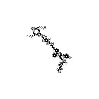 CCC(=O)NCCNC(=O)NC(=N)NCCC[C@@H](NC(=O)C(c1ccccc1)c1cccc(OCCCCNC(=O)C[C@H]2NC(=O)[C@@H](CCCNC(=O)CN3CCN(CC(=O)O)CCN(CC(=O)O)CCN(CC(=O)O)CC3)NC2=O)c1)C(=O)NCc1ccc(O)cc1